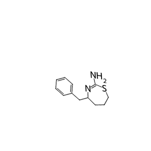 NC1=NC(Cc2ccccc2)CCCS1